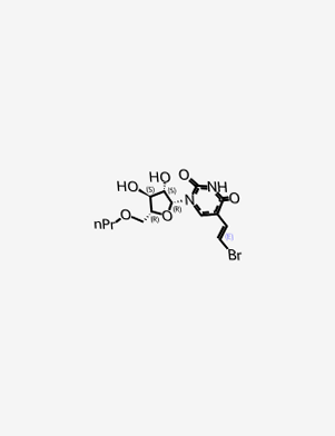 CCCOC[C@H]1O[C@@H](n2cc(/C=C/Br)c(=O)[nH]c2=O)[C@@H](O)[C@@H]1O